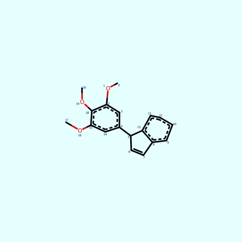 COc1cc(C2C=Cc3ccccc32)cc(OC)c1OC